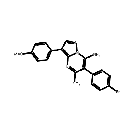 COc1ccc(-c2cnn3c(N)c(-c4ccc(Br)cc4)c(C)nc23)cc1